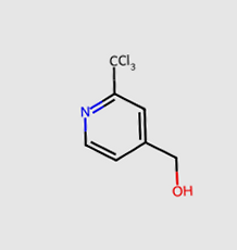 OCc1ccnc(C(Cl)(Cl)Cl)c1